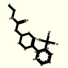 CCOC(=O)CC1CC=C(c2ncccc2C(F)(F)F)CC1